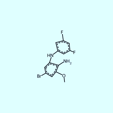 COc1cc(Br)cc(Nc2cc(F)cc(F)c2)c1N